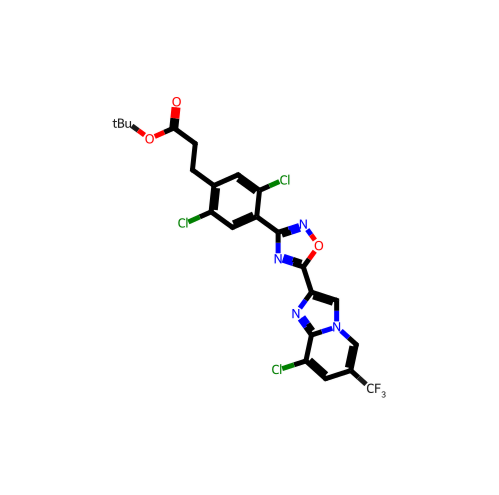 CC(C)(C)OC(=O)CCc1cc(Cl)c(-c2noc(-c3cn4cc(C(F)(F)F)cc(Cl)c4n3)n2)cc1Cl